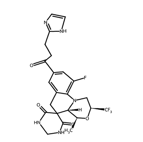 C[C@@H]1O[C@H](C(F)(F)F)CN2c3c(F)cc(C(=O)CCc4ncc[nH]4)cc3CC3(C(=O)NCNC3=O)[C@@H]12